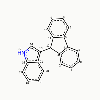 c1ccc2c(c1)-c1ccccc1C2c1c[nH]c2ccccc12